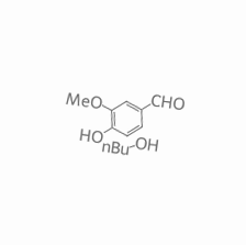 CCCCO.COc1cc(C=O)ccc1O